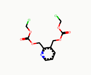 O=C(OCCl)OCc1cccnc1COC(=O)OCCl